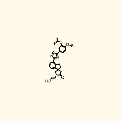 CC(C)Oc1ccc(-c2nc(-c3cccc4c3CCC43CC(=O)N(CCO)C3)no2)cc1OC(C)F